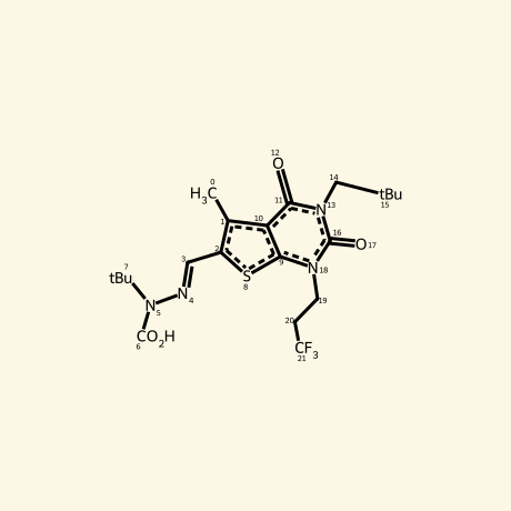 Cc1c(C=NN(C(=O)O)C(C)(C)C)sc2c1c(=O)n(CC(C)(C)C)c(=O)n2CCC(F)(F)F